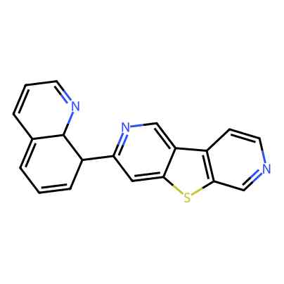 C1=CC2=CC=CC(c3cc4sc5cnccc5c4cn3)C2N=C1